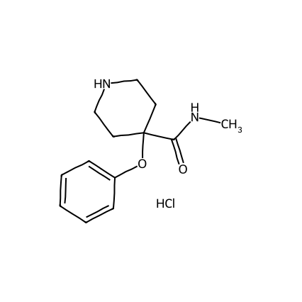 CNC(=O)C1(Oc2ccccc2)CCNCC1.Cl